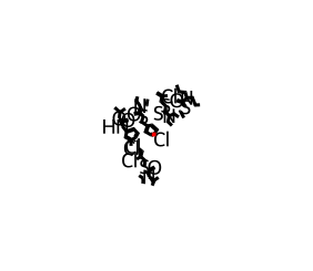 C=C(Cl)CSC(=S)N(CC)CC.CC(C)N(C(=O)SCC(Cl)=CCl)C(C)C.CC(C)OC(=O)Nc1cccc(Cl)c1.CCCN(CCC)C(=O)SCC.CCN(CC)C(=O)SCc1ccc(Cl)cc1